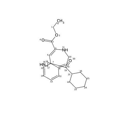 CCOC(=O)C1=CC23C(=CCN1)C=CC=C2NCC3C(=O)C1CCCCC1